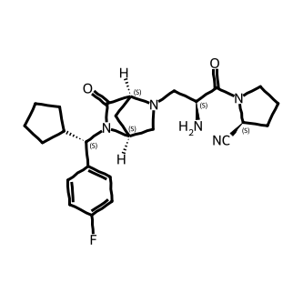 N#C[C@@H]1CCCN1C(=O)[C@@H](N)CN1C[C@@H]2C[C@H]1C(=O)N2[C@H](c1ccc(F)cc1)C1CCCC1